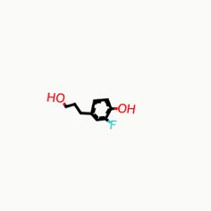 OCCCc1ccc(O)c(F)c1